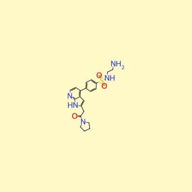 NCCNS(=O)(=O)c1ccc(-c2ccnc3[nH]c(CC(=O)N4CCCC4)cc23)cc1